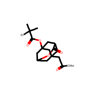 CCC(C)(C)C(=O)OC12CC3CC(CC(=O)OC)(CC(C1)C(=O)O3)C2